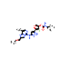 COCc1cn2c(Nc3cc([C@H]4OC[C@@H](OC(=O)NC(C)C)[C@@H]4F)[nH]n3)ncc(C)c2n1